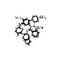 COc1cc(N2CCN(C)CC2)c(NC(=O)c2ccncc2OC)cc1Nc1ncc(Cl)c(N2CCc3ccsc3C2)n1